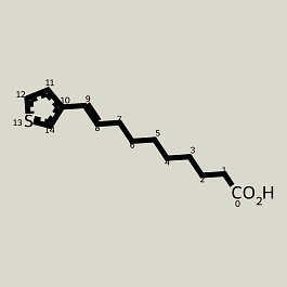 O=C(O)CCCCCCC/C=C/c1ccsc1